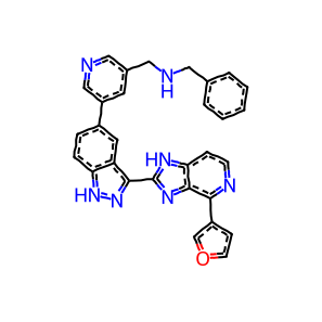 c1ccc(CNCc2cncc(-c3ccc4[nH]nc(-c5nc6c(-c7ccoc7)nccc6[nH]5)c4c3)c2)cc1